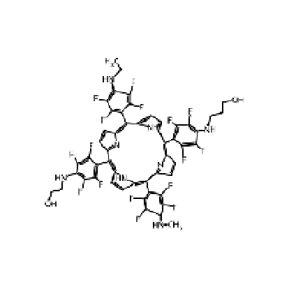 CCNc1c(F)c(F)c(-c2c3nc(c(-c4c(F)c(F)c(NCCO)c(F)c4F)c4ccc([nH]4)c(C4=C(F)C(F)C(NC)C(F)=C4F)c4nc(c(-c5c(F)c(F)c(NCCCO)c(F)c5F)c5ccc2[nH]5)C=C4)C=C3)c(F)c1F